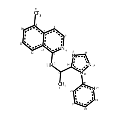 CC(Nc1nccc2c(C(F)(F)F)cccc12)c1ncnn1-c1ccccn1